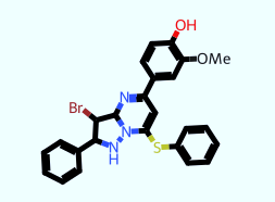 COc1cc(C2=NC3C(Br)C(c4ccccc4)NN3C(Sc3ccccc3)=C2)ccc1O